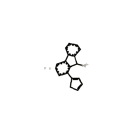 [Hf+2][CH]1c2ccccc2-c2cccc(C3=CC=CC3)c21.[I-].[I-]